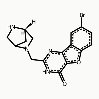 O=c1[nH]c(CN2C[C@@H]3CC2CN3)nc2c1oc1ccc(Br)cc12